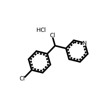 Cl.Clc1ccc(C(Cl)c2cccnc2)cc1